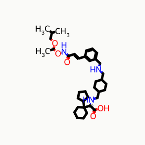 CC(C)COC(C)ONC(=O)C=Cc1cccc(CNCC2CCC(CN[C@H](C(=O)O)C3(C4CCCC4)CCCCC3)CC2)c1